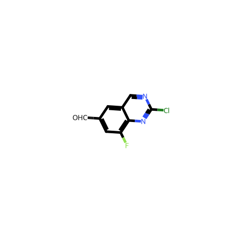 O=Cc1cc(F)c2nc(Cl)ncc2c1